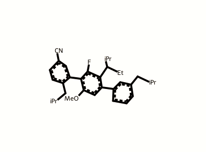 CCC(c1c(-c2cccc(CC(C)C)c2)cc(OC)c(-c2cc(C#N)ccc2CC(C)C)c1F)C(C)C